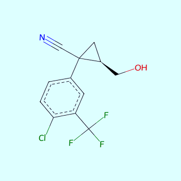 N#CC1(c2ccc(Cl)c(C(F)(F)F)c2)C[C@H]1CO